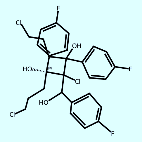 OC(c1ccc(F)cc1)C(Cl)(C(O)(CCCCl)c1ccc(F)cc1)[C@@](O)(CCCCl)c1ccc(F)cc1